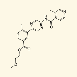 COCCOC(=O)c1ccc(C)c(-c2cnc(NC(=O)c3ccncc3C)cn2)c1